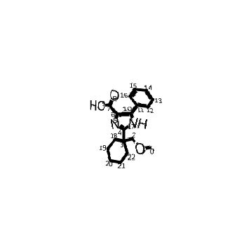 COCC1(c2nc(C(=O)O)c(-c3ccccc3)[nH]2)CCCCC1